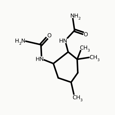 CC1CC(NC(N)=O)C(NC(N)=O)C(C)(C)C1